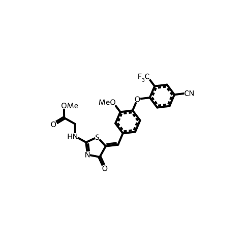 COC(=O)CNC1=NC(=O)C(=Cc2ccc(Oc3ccc(C#N)cc3C(F)(F)F)c(OC)c2)S1